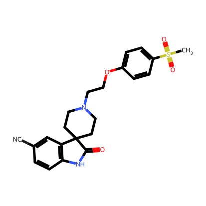 CS(=O)(=O)c1ccc(OCCN2CCC3(CC2)C(=O)Nc2ccc(C#N)cc23)cc1